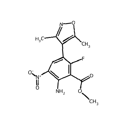 COC(=O)c1c(N)c([N+](=O)[O-])cc(-c2c(C)noc2C)c1F